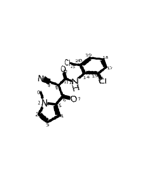 Cn1cccc1C(=O)C(C#N)C(=O)Nc1c(Cl)cccc1Cl